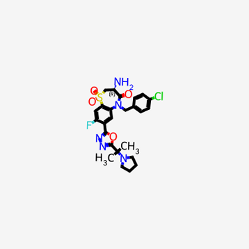 CC(C)(c1nnc(-c2cc3c(cc2F)S(=O)(=O)C[C@H](N)C(=O)N3Cc2ccc(Cl)cc2)o1)N1CCCC1